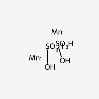 O=S(=O)(O)O.O=S(=O)(O)O.[Mn].[Mn]